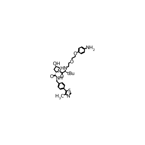 Cc1ncsc1-c1ccc(CNC(=O)[C@@H]2C[C@@H](O)CN2C(=O)[C@@H](NCCOCCOc2ccc(N)cc2)C(C)(C)C)cc1